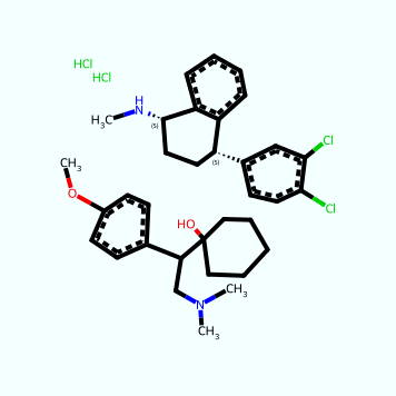 CN[C@H]1CC[C@@H](c2ccc(Cl)c(Cl)c2)c2ccccc21.COc1ccc(C(CN(C)C)C2(O)CCCCC2)cc1.Cl.Cl